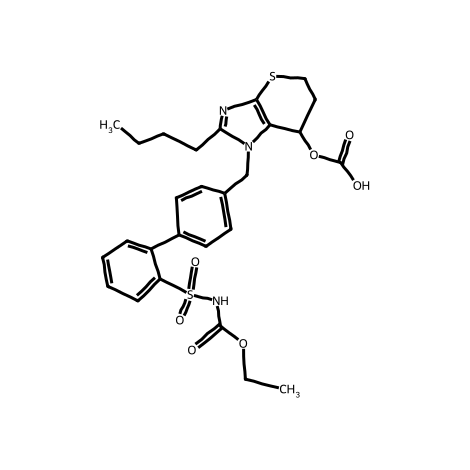 CCCCc1nc2c(n1Cc1ccc(-c3ccccc3S(=O)(=O)NC(=O)OCC)cc1)C(OC(=O)O)CCS2